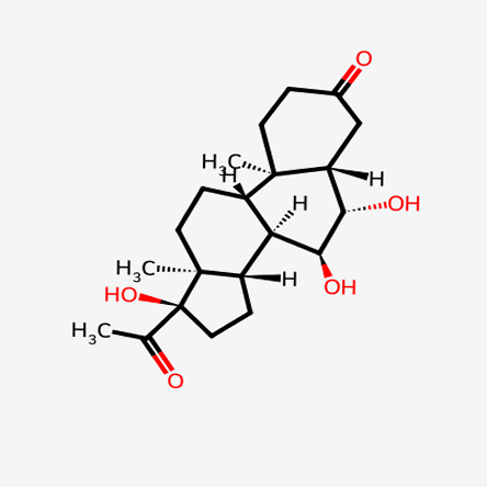 CC(=O)[C@@]1(O)CC[C@H]2[C@@H]3[C@H](O)[C@@H](O)[C@H]4CC(=O)CC[C@]4(C)[C@H]3CC[C@@]21C